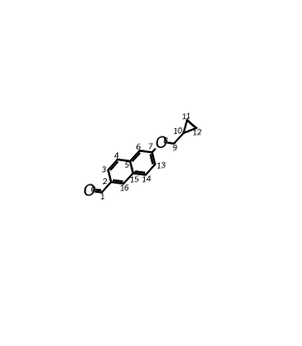 O=Cc1ccc2cc(OCC3CC3)ccc2c1